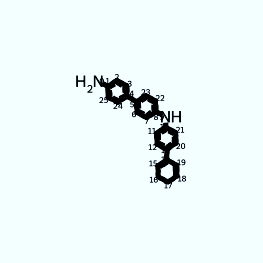 Nc1ccc(-c2ccc(Nc3ccc(C4=CCCC=C4)cc3)cc2)cc1